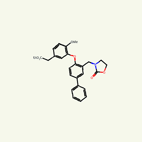 CCOC(=O)Cc1ccc(OC)c(Oc2ccc(-c3ccccc3)cc2CN2CCOC2=O)c1